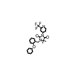 CC1(C)C(=O)N(c2ccnc(C(F)(F)F)c2)C(=O)N1Cc1ccccc1Oc1ccccc1